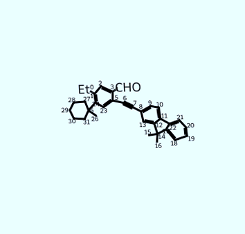 CCc1cc(C=O)c(C#Cc2ccc3c(c2)C(C)(C)c2ccccc2-3)cc1C1(C)CCCCC1